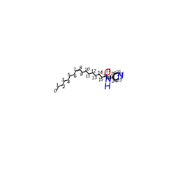 CCCCCCC/C=C\CCCCCCCC(=O)Nc1ccncc1